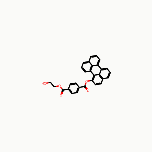 O=C(OCCO)c1ccc(C(=O)Oc2ccc3cccc4c5cccc6cccc(c2c34)c65)cc1